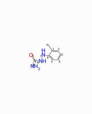 Cc1ccccc1NNC(N)=O